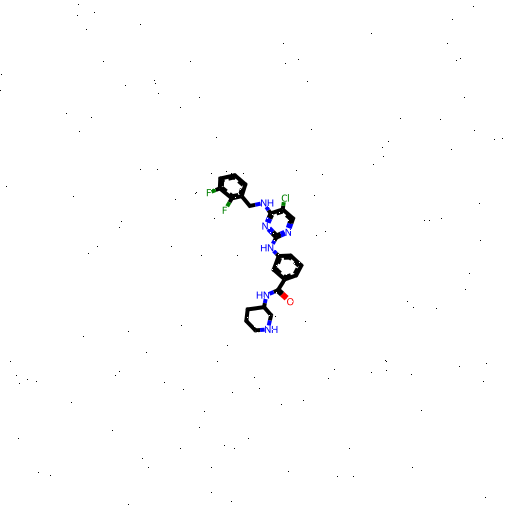 O=C(NC1CCCNC1)c1cccc(Nc2ncc(Cl)c(NCc3cccc(F)c3F)n2)c1